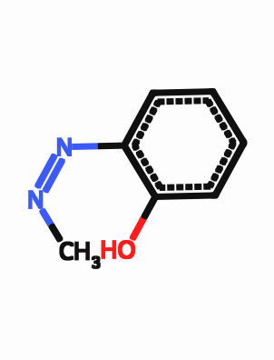 C/N=N\c1ccccc1O